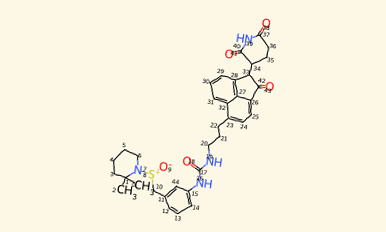 CC1(C)CCCCN1[S+]([O-])Cc1cccc(NC(=O)NCCCc2ccc3c4c(cccc24)C(C2CCC(=O)NC2=O)C3=O)c1